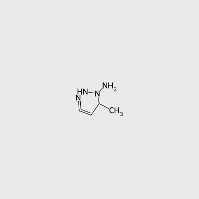 CC1C=C=NNN1N